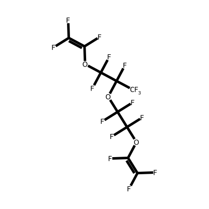 FC(F)=C(F)OC(F)(F)C(F)(F)OC(F)(C(F)(F)F)C(F)(F)OC(F)=C(F)F